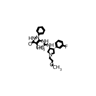 COCCN1C[C@@H](NC(O)Nc2c(C)c(=O)[nH]n2-c2ccccc2)[C@H](c2cccc(F)c2)C1